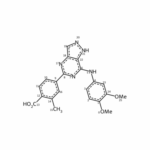 COc1ccc(Nc2nc(-c3ccc(C(=O)O)c(C)c3)nc3cn[nH]c23)cc1OC